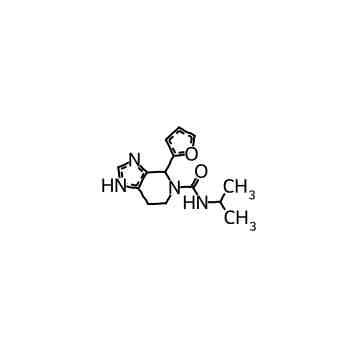 CC(C)NC(=O)N1CCc2[nH]cnc2C1c1ccco1